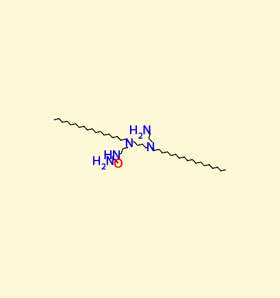 CCCCCCCCCCCCCCCCCCN(CCCN)CCCCN(CCCCCCCCCCCCCCCCCC)CCCNC(N)=O